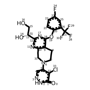 O=c1[nH]ncc(N2CCc3c(nc([C@H](O)CO)nc3Oc3ccc(F)cc3C(F)(F)F)C2)c1Cl